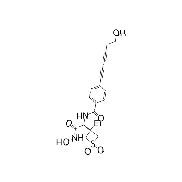 CCC1(C(NC(=O)c2ccc(C#CC#CCCO)cc2)C(=O)NO)CS(=O)(=O)C1